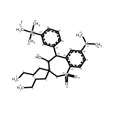 CCCCC1(CCCC)CS(=O)(=O)c2ccc(N(C)C)cc2C(c2cccc([N+](C)(C)C)c2)C1O.[I-]